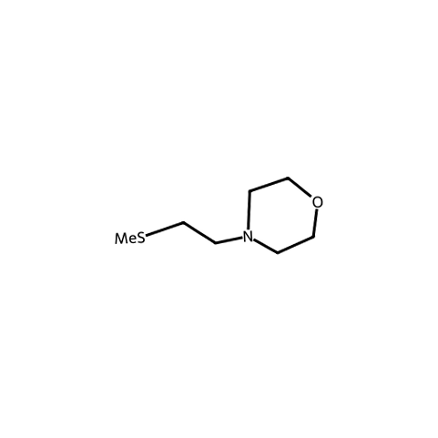 CSCCN1CCOCC1